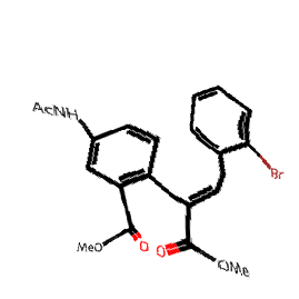 COC(=O)/C(=C/c1ccccc1Br)c1ccc(NC(C)=O)cc1C(=O)OC